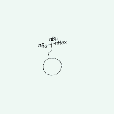 CCCCCCC(CCCC)(CCCC)CCC1CCCCCCCCCC1